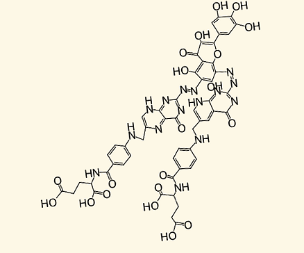 O=C(O)CCC(NC(=O)c1ccc(NCc2c[nH]c3nc(/N=N\c4c(O)c(/N=N/c5nc6[nH]cc(CNc7ccc(C(=O)NC(CCC(=O)O)C(=O)O)cc7)nc-6c(=O)n5)c(O)c5c(=O)c(O)c(-c6cc(O)c(O)c(O)c6)oc45)nc(=O)c-3c2)cc1)C(=O)O